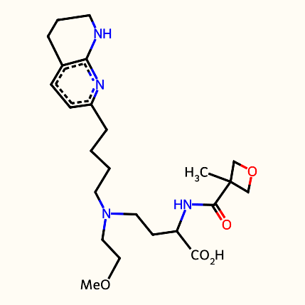 COCCN(CCCCc1ccc2c(n1)NCCC2)CCC(NC(=O)C1(C)COC1)C(=O)O